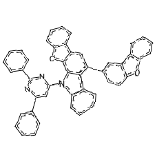 c1ccc(-c2cc(-n3c4ccccc4c4c(-c5ccc6oc7ccccc7c6c5)cc5c6ccccc6oc5c43)nc(-c3ccccc3)n2)cc1